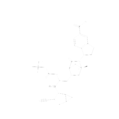 CC(C)(C)OC(=O)NC(CN1C[C@@H]2CC1C(=O)N2C1CCc2cc(C(N)=O)ccc21)C(=O)N1C(C#N)CC2CC21